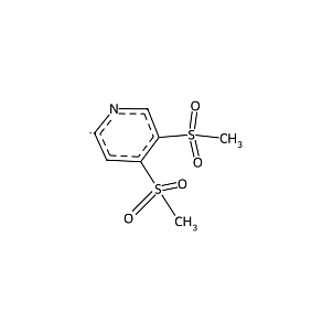 CS(=O)(=O)c1c[c]ncc1S(C)(=O)=O